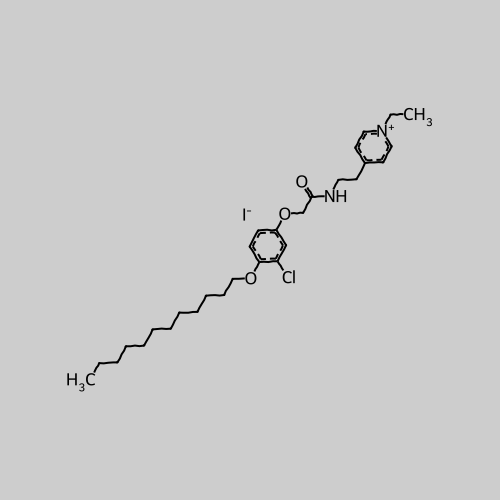 CCCCCCCCCCCCOc1ccc(OCC(=O)NCCc2cc[n+](CC)cc2)cc1Cl.[I-]